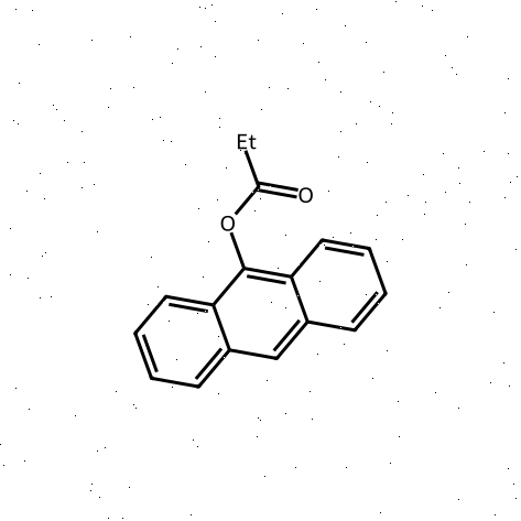 CCC(=O)Oc1c2ccccc2cc2ccccc12